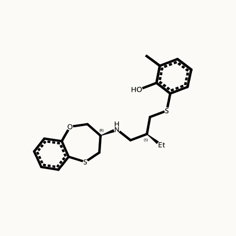 CC[C@@H](CN[C@@H]1COc2ccccc2SC1)CSc1cccc(C)c1O